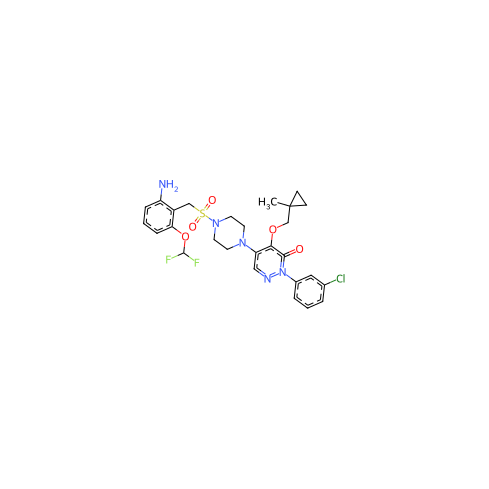 CC1(COc2c(N3CCN(S(=O)(=O)Cc4c(N)cccc4OC(F)F)CC3)cnn(-c3cccc(Cl)c3)c2=O)CC1